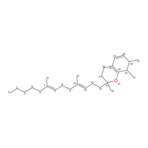 CCCCC/C(C)=C/CC/C(C)=C/CCC1(C)CCC2=C(O1)C(C)C(C)C=C2